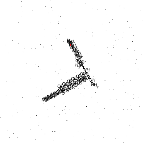 NCCNCCNCCNCCN.O=P([O-])([O-])CP(=O)([O-])[O-].O=P([O-])([O-])CP(=O)([O-])[O-].O=P([O-])([O-])CP(=O)([O-])[O-].O=P([O-])([O-])CP(=O)([O-])[O-].O=P([O-])([O-])CP(=O)([O-])[O-].O=P([O-])([O-])CP(=O)([O-])[O-].O=P([O-])([O-])CP(=O)([O-])[O-].[Na+].[Na+].[Na+].[Na+].[Na+].[Na+].[Na+].[Na+].[Na+].[Na+].[Na+].[Na+].[Na+].[Na+].[Na+].[Na+].[Na+].[Na+].[Na+].[Na+].[Na+].[Na+].[Na+].[Na+].[Na+].[Na+].[Na+].[Na+]